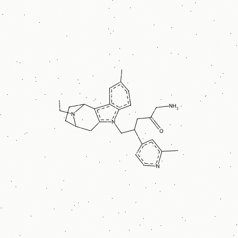 CCN1C2CCC1c1c(n(CC(CC(=O)CN)c3ccnc(C)c3)c3ccc(C)cc13)C2